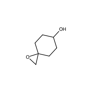 OC1CCC2(CC1)CO2